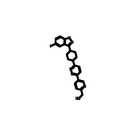 OCc1ccc(-c2ccc(N3CCC(c4noc5ccc(F)cc45)CC3)nn2)cn1